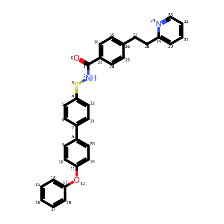 O=C(NSc1ccc(-c2ccc(Oc3ccccc3)cc2)cc1)c1ccc(CCc2ccccn2)cc1